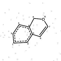 [c]1cccc2c1C=COC2